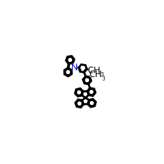 CC1=C(c2ccc(-c3cccc4c3-c3ccccc3C43c4ccccc4-c4ccccc43)cc2C)C=C(n2c3ccccc3c3ccccc32)CC1